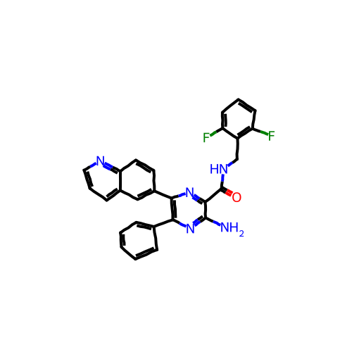 Nc1nc(-c2ccccc2)c(-c2ccc3ncccc3c2)nc1C(=O)NCc1c(F)cccc1F